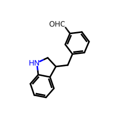 O=Cc1cccc(CC2CNc3ccccc32)c1